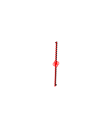 CC(C)CCCCCCCCCCCCCCCCCCCOC(=O)C(=O)OCCCCCCCCCCCCCCCCCCCC(C)C